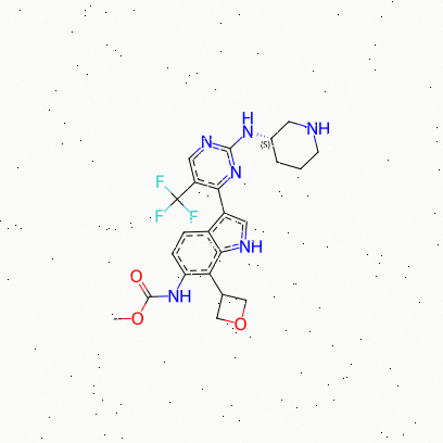 COC(=O)Nc1ccc2c(-c3nc(N[C@H]4CCCNC4)ncc3C(F)(F)F)c[nH]c2c1C1COC1